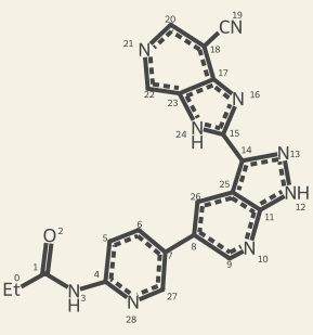 CCC(=O)Nc1ccc(-c2cnc3[nH]nc(-c4nc5c(C#N)cncc5[nH]4)c3c2)cn1